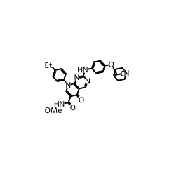 CCc1ccc(-n2cc(C(=O)NOC)c(=O)c3cnc(Nc4ccc(OC5CN6CCC5CC6)cc4)nc32)cc1